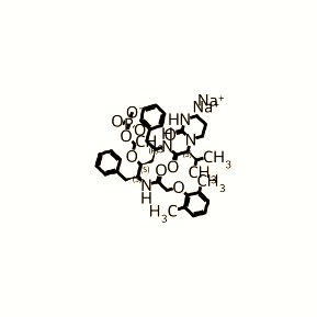 Cc1cccc(C)c1OCC(=O)N[C@@H](Cc1ccccc1)[C@H](C[C@@H](Cc1ccccc1)NC(=O)[C@H](C(C)C)N1CCCNC1=O)OC(C)OP(=O)([O-])[O-].[Na+].[Na+]